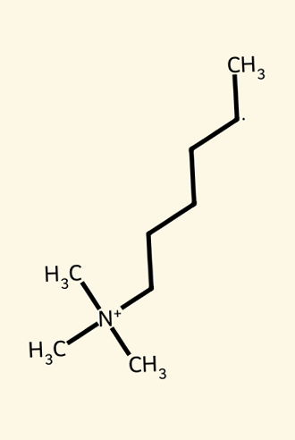 C[CH]CCCC[N+](C)(C)C